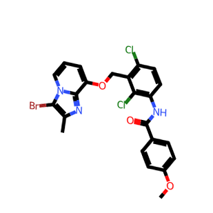 COc1ccc(C(=O)Nc2ccc(Cl)c(COc3cccn4c(Br)c(C)nc34)c2Cl)cc1